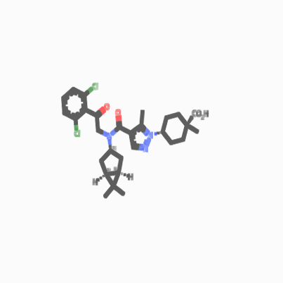 Cc1c(C(=O)N(CC(=O)c2c(Cl)cccc2Cl)[C@H]2C[C@@H]3[C@H](C2)C3(C)C)cnn1[C@H]1CC[C@](C)(C(=O)O)CC1